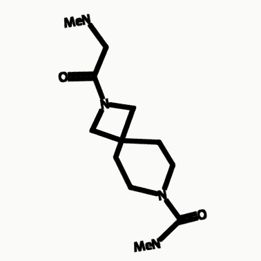 CNCC(=O)N1CC2(CCN(C(=O)NC)CC2)C1